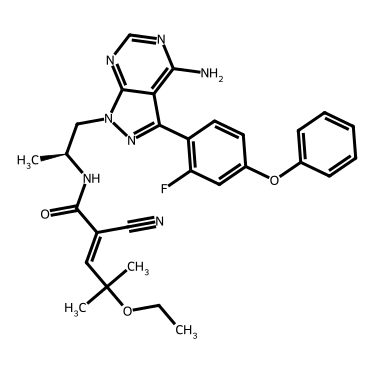 CCOC(C)(C)/C=C(\C#N)C(=O)N[C@@H](C)Cn1nc(-c2ccc(Oc3ccccc3)cc2F)c2c(N)ncnc21